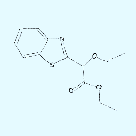 CCOC(=O)C(OCC)c1nc2ccccc2s1